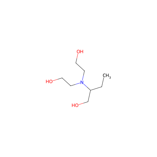 CCC(CO)N(CCO)CCO